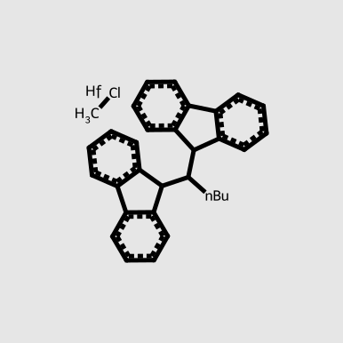 CCCCC(C1c2ccccc2-c2ccccc21)C1c2ccccc2-c2ccccc21.CCl.[Hf]